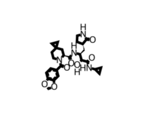 O=C(NC1CC1)C(O)[C@H](C[C@@H]1CCNC1=O)NC(=O)[C@@H]1CC2(CCN1C(=O)c1ccc3c(c1)OCO3)CC2